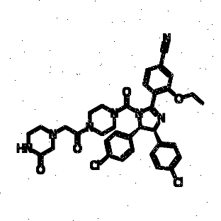 CCOc1cc(C#N)ccc1C1=N[C@@H](c2ccc(Cl)cc2)[C@@H](c2ccc(Cl)cc2)N1C(=O)N1CCN(C(=O)CN2CCNC(=O)C2)CC1